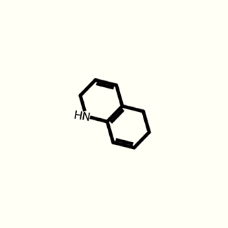 C1=CC2=C(C=CCN2)CC1